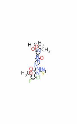 COC(=O)C1=C(CN2CCN3C(=O)N([C@@H]4C[C@H](C(=O)OC)N(C(C)C)C4)CC3C2)NC(c2nccs2)=NC1c1ccc(F)cc1Cl